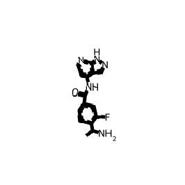 CC(N)c1ccc(C(=O)Nc2ccnc3[nH]ncc23)cc1F